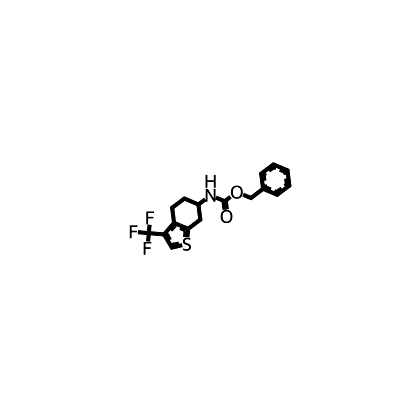 O=C(NC1CCc2c(C(F)(F)F)csc2C1)OCc1ccccc1